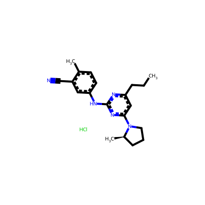 CCCc1cc(N2CCC[C@H]2C)nc(Nc2ccc(C)c(C#N)c2)n1.Cl